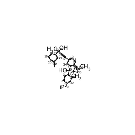 CC(C)c1ccc([C@](O)(c2cncc(C#CC(C)(O)c3cccc(F)c3)c2)C2(C)CN(C)C2)cc1